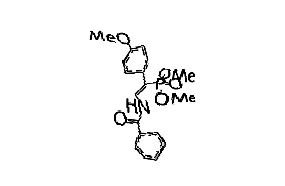 COc1ccc(C(=CNC(=O)c2ccccc2)P(=O)(OC)OC)cc1